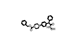 O=C(NO)C(c1ccccc1)c1ccc(N2CCN(C(=O)OCc3ccccc3)CC2)cc1